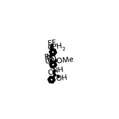 COCc1cc(NC(=O)[C@@H](CO)c2ccccc2)ccc1S(=O)(=O)N(F)c1cccc(OC(F)(F)P)c1